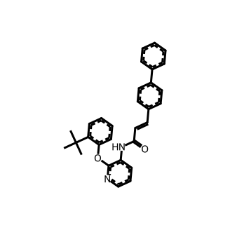 CC(C)(C)c1ccccc1Oc1ncccc1NC(=O)/C=C/c1ccc(-c2ccccc2)cc1